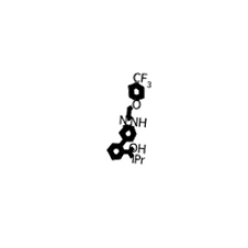 CC(C)C(O)c1ccccc1-c1ccc2[nH]c(COc3ccc(C(F)(F)F)cc3)nc2c1